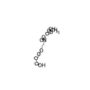 CC1(C)OCc2cc([C@@H]3CN(CCCCCCOCCOCc4cccc(-c5cccc(O)c5)c4)C(=O)O3)ccc2O1